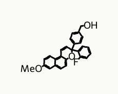 COc1ccc2c3c(ccc2c1)OC(c1ccc(CO)cc1)(c1ccccc1F)C=C3